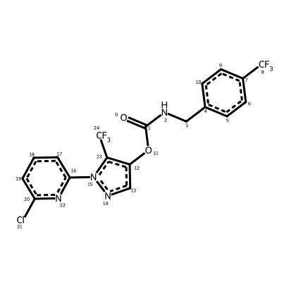 O=C(NCc1ccc(C(F)(F)F)cc1)Oc1cnn(-c2cccc(Cl)n2)c1C(F)(F)F